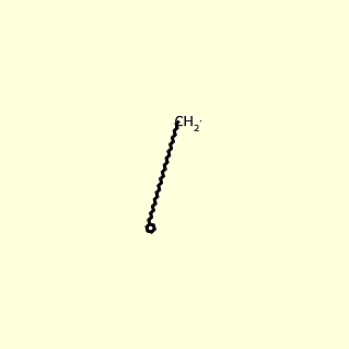 [CH2]CCCCCCCCCCCCCCCCCCCCCCCCCCCCCC1CCCCC1